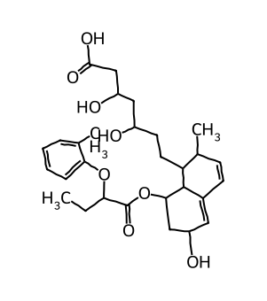 CCC(Oc1ccccc1C)C(=O)OC1CC(O)C=C2C=CC(C)C(CCC(O)CC(O)CC(=O)O)C21